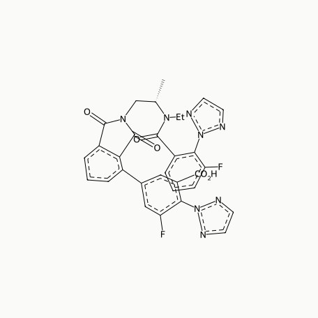 CCN(C(=O)c1cccc(F)c1-n1nccn1)[C@@H](C)CN1C(=O)c2cccc(-c3cc(F)c(-n4nccn4)c(C(=O)O)c3)c2C1=O